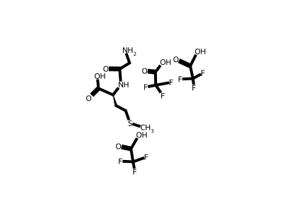 CSCC[C@H](NC(=O)CN)C(=O)O.O=C(O)C(F)(F)F.O=C(O)C(F)(F)F.O=C(O)C(F)(F)F